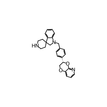 c1cnc2c(c1)OC[C@H](c1ccc(CN3CC4(CCNCC4)c4ccccc43)cc1)O2